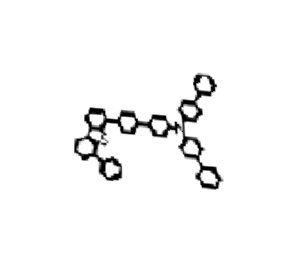 C1=CCC(c2ccc(N(c3ccc(-c4ccccc4)cc3)c3ccc(-c4ccc(-c5cccc6c7c(sc56)C(c5ccccc5)=CCC7)cc4)cc3)cc2)C=C1